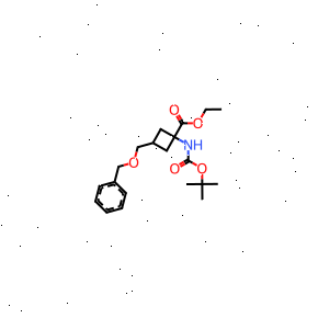 CCOC(=O)C1(NC(=O)OC(C)(C)C)CC(COCc2ccccc2)C1